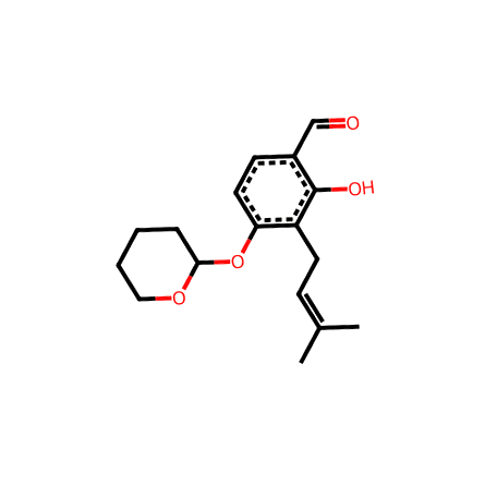 CC(C)=CCc1c(OC2CCCCO2)ccc(C=O)c1O